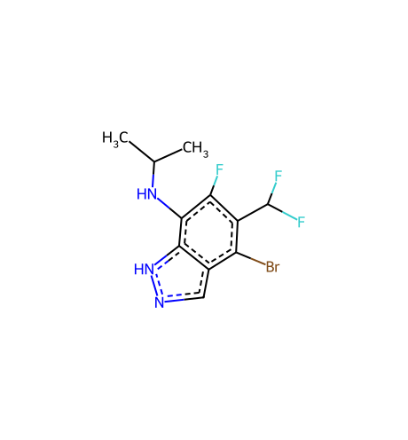 CC(C)Nc1c(F)c(C(F)F)c(Br)c2cn[nH]c12